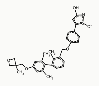 Cc1cc(OCC2(C)COC2)cc(C)c1-c1cccc(COc2ccc(-c3cc(O)n[s+]3[O-])cc2)c1C